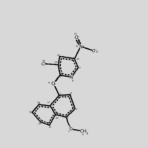 COc1ccc(Oc2ncc([N+](=O)[O-])cc2Cl)c2ccccc12